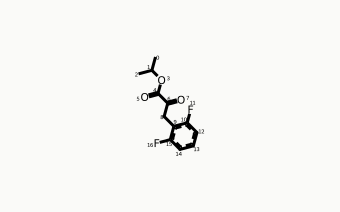 CC(C)OC(=O)C(=O)Cc1c(F)cccc1F